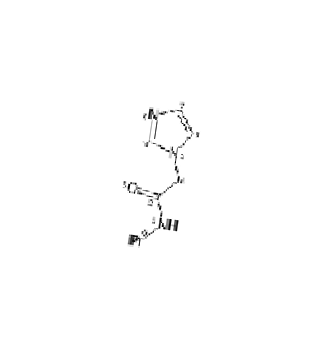 CC(C)NC(=O)Cn1ccnc1